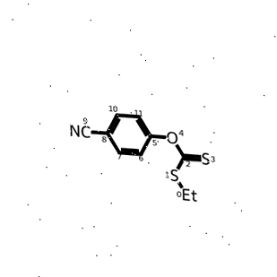 CCSC(=S)Oc1ccc(C#N)cc1